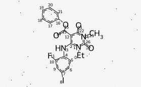 CCn1c(Nc2ccc(I)cc2F)c(C(=O)Oc2ccccc2)c(=O)n(C)c1=O